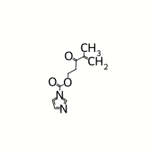 C=C(C)C(=O)CCOC(=O)n1ccnc1